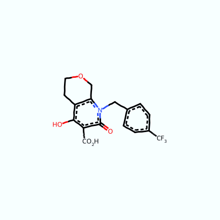 O=C(O)c1c(O)c2c(n(Cc3ccc(C(F)(F)F)cc3)c1=O)COCC2